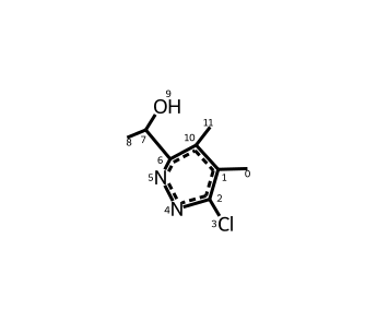 Cc1c(Cl)nnc(C(C)O)c1C